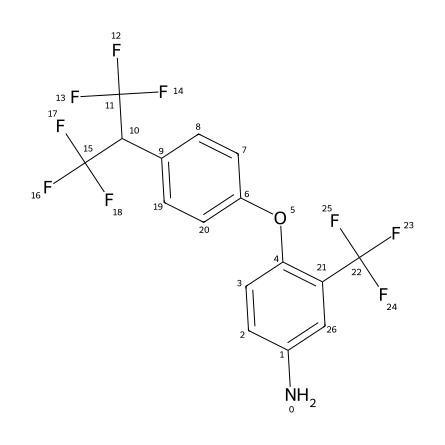 Nc1ccc(Oc2ccc(C(C(F)(F)F)C(F)(F)F)cc2)c(C(F)(F)F)c1